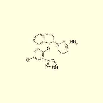 N[C@@H]1CCCN(C2CCc3ccccc3C2Oc2ccc(Cl)cc2-c2cc[nH]n2)C1